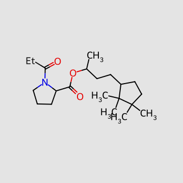 CCC(=O)N1CCCC1C(=O)OC(C)CCC1CCC(C)(C)C1(C)C